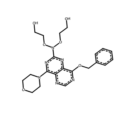 OCCON(OCCO)c1nc(N2CCOCC2)c2ncnc(OCc3ccccc3)c2n1